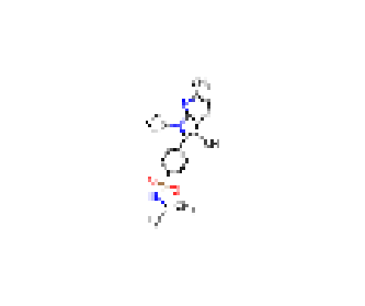 Cc1ccc2c(C#N)c(-c3ccc(S(=O)(=O)N[C@H](C)C(F)(F)F)cc3)n(C3CCC3)c2n1